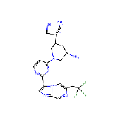 N=C/C(=C\N)C1CC(N)CN(c2ccnc(-c3cnc4cnc(CC(F)(F)F)cn34)n2)C1